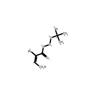 CC(C)C(=CC(=O)O)C(=O)OOOC(C)(C)C(C)C